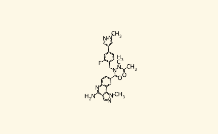 CC(=O)N(C)N(Cc1ccc(-c2cnn(C)c2)cc1F)C(=O)c1ccc2nc(N)c3cnn(C)c3c2c1